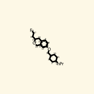 CCCC1CCC(COc2ccc3c(c2)COC(CCF)C3)CC1